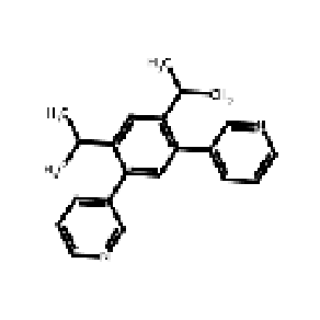 CC(C)c1cc(C(C)C)c(-c2cccnc2)cc1-c1cccnc1